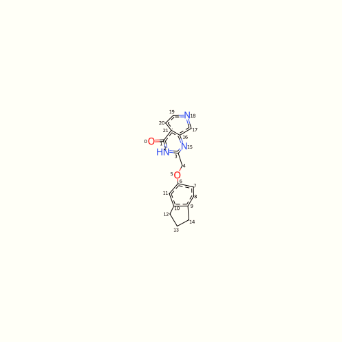 O=c1[nH]c(COc2ccc3c(c2)CCC3)nc2cnccc12